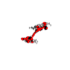 CN[C@@H](C)C(=O)N[C@H](C(=O)N1CCC[C@H]1C(=O)Nc1sc(-c2ccccn2)nc1-c1ccccc1)c1ccc(OCC#CC#CCOc2ccc([C@H](NC(=O)[C@H](C)NC)C(=O)N3CCC[C@H]3C(=O)Nc3sc(-c4nccn4C)nc3-c3ccccc3)cc2)cc1